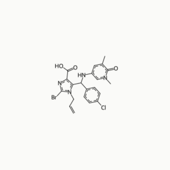 C=CCn1c(Br)nc(C(=O)O)c1C(Nc1cc(C)c(=O)n(C)c1)c1ccc(Cl)cc1